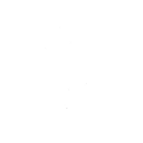 C[Si](C)(C)OC(=O)CC1CC2C=CC1C2